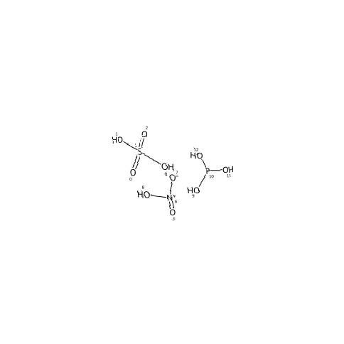 O=S(=O)(O)O.O=[N+]([O-])O.OP(O)O